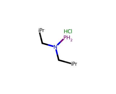 CC(C)CN(P)CC(C)C.Cl